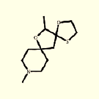 CC1OC2(CCN(C)CC2)CC12OCCS2